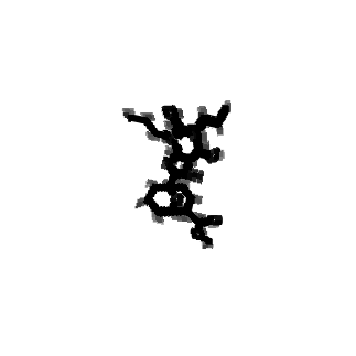 CCCn1c(=O)c2[nH]c(C34CCCC(O3)C(C(=O)OC)CC4)nc2n(CCC)c1=O